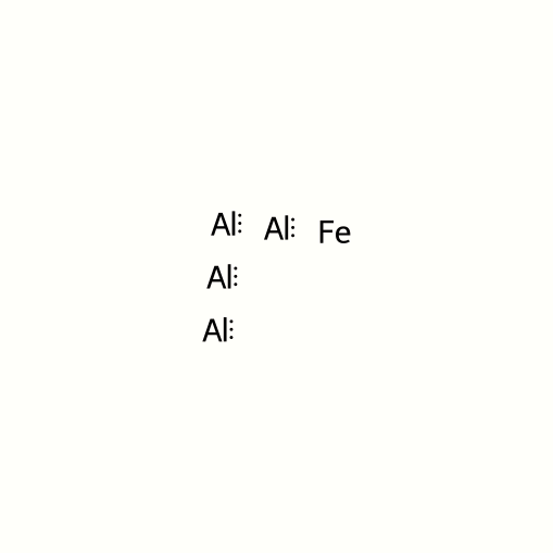 [Al].[Al].[Al].[Al].[Fe]